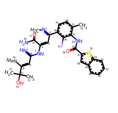 C/N=C(\C=C(\NC(=N)/C=C(\NC)C(C)(C)O)C(N)=O)c1ccc(C)c(NC(=O)c2cc3ccccc3s2)c1I